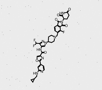 O=C1CCC(N2C(=O)c3ccc(CN4CCC(n5cc(NC(=O)c6coc(-c7ccnc(NCC8CC8)c7)n6)c(C(F)F)n5)CC4)c(F)c3C2=O)C(=O)N1